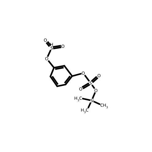 C[Si](C)(C)OS(=O)(=O)Oc1cccc(O[SH](=O)=O)c1